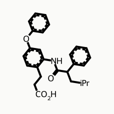 CC(C)CC(C(=O)Nc1cc(Oc2ccccc2)ccc1CCC(=O)O)c1ccccc1